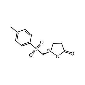 Cc1ccc(S(=O)(=O)C[C@H]2CCC(=O)O2)cc1